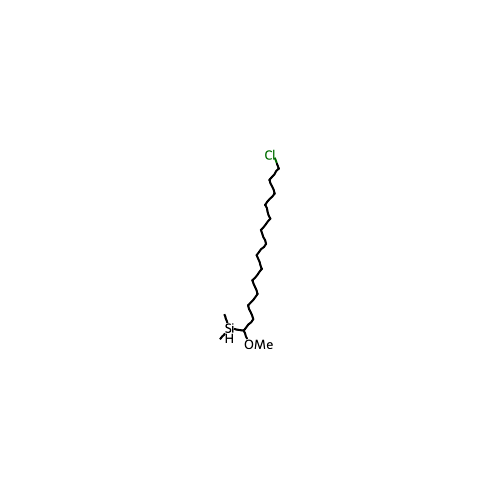 COC(CCCCCCCCCCCCCCl)[SiH](C)C